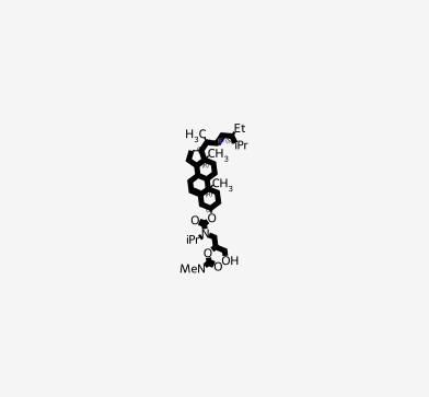 CC[C@H](/C=C/[C@@H](C)[C@H]1CCC2C3CC=C4C[C@@H](OC(=O)N(CC(CO)OC(=O)NC)C(C)C)CC[C@]4(C)C3CC[C@@]21C)C(C)C